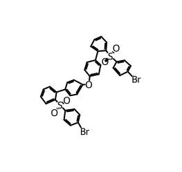 O=S(=O)(c1ccc(Br)cc1)c1ccccc1-c1ccc(Oc2ccc(-c3ccccc3S(=O)(=O)c3ccc(Br)cc3)cc2)cc1